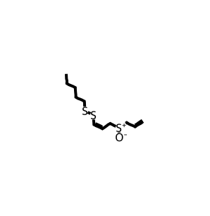 C=CC[S+]([O-])C/C=C\SSCCCCC